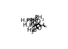 B[C@@H]1O[C@H](CC)[C@H](OPP)C1(C=C=C)OP(P)PP